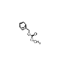 COC(=O)OCC1CC2C=CC1C2